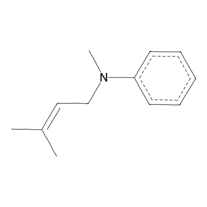 CC(C)=CCN(C)c1ccccc1